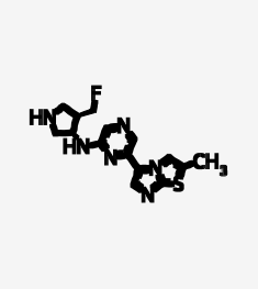 Cc1cn2c(-c3cncc(N[C@H]4CNC[C@H]4CF)n3)cnc2s1